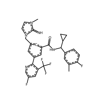 Cc1cc(C(NC(=O)c2cc(Cn3ccn(C)c3=N)cc(-c3ncc(F)cc3C(F)(F)F)c2)C2CC2)ccc1F